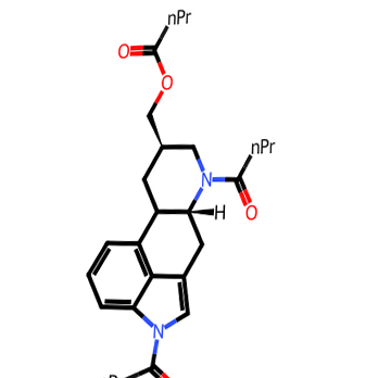 CCCC(=O)OC[C@@H]1CC2c3cccc4c3c(cn4C(=O)CCC)C[C@H]2N(C(=O)CCC)C1